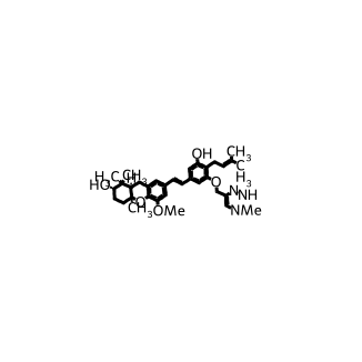 CN/C=C(/COc1cc(/C=C/c2cc3c(c(OC)c2)O[C@]2(C)CC[C@@H](O)C(C)(C)[C@H]2C3)cc(O)c1CC=C(C)C)N=N